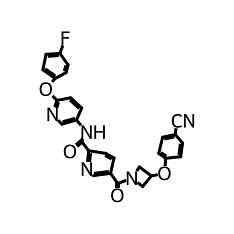 N#Cc1ccc(OC2CN(C(=O)c3ccc(C(=O)Nc4ccc(Oc5ccc(F)cc5)nc4)nc3)C2)cc1